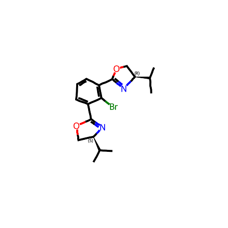 CC(C)[C@@H]1COC(c2cccc(C3=N[C@@H](C(C)C)CO3)c2Br)=N1